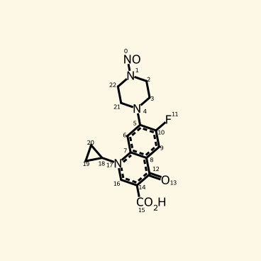 O=NN1CCN(c2cc3c(cc2F)c(=O)c(C(=O)O)cn3C2CC2)CC1